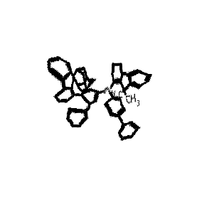 CC1(C)c2ccccc2-c2cccc(N(c3ccc(-c4ccccc4)cc3)c3ccc(-c4cccc5c4C4(c6ccccc6-5)C5CC6CC(C5)CC4C6)c(-c4ccccc4)c3)c21